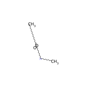 CCCCCCCC/C=C\CCCCCCCC(=O)OC=CCCCCCCCCCCCCCC